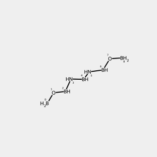 BOBNBNBOB